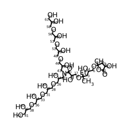 CCC(C)(CC(O)COC1(C)CC(O)C(=O)O1)OCC(O)C(=O)N(CC(O)COCC(O)COCC(O)COCC(O)CO)CC(O)COCC(O)COCC(O)COCC(O)CO